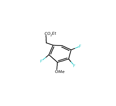 CCOC(=O)Cc1cc(F)c(F)c(OC)c1F